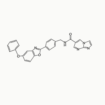 O=C(NCc1ccc(-c2nc3cc(Oc4ccccc4)ccc3o2)cc1)c1cnc2nccn2c1